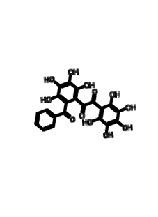 O=C(C(=O)c1c(O)c(O)c(O)c(O)c1C(=O)c1ccccc1)c1c(O)c(O)c(O)c(O)c1O